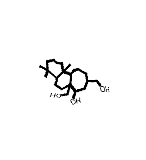 CC1(C)CCCC2(C)C1CCC1(CO)C(O)CC(CO)CCC21